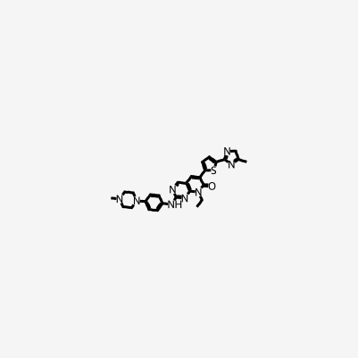 CCn1c(=O)c(-c2ccc(C3=NCC(C)=N3)s2)cc2cnc(Nc3ccc(N4CCN(C)CC4)cc3)nc21